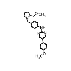 COCC1CCCN1Cc1ccc(Nc2ncc(-c3ccc(OC)cc3)cn2)cc1